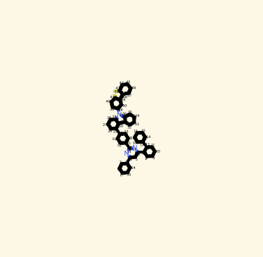 c1ccc(-c2cc(-c3ccccc3-c3ccccc3)nc(-c3ccc(-c4cccc5c4c4ccccc4n5-c4ccc5sc6ccccc6c5c4)cc3)n2)cc1